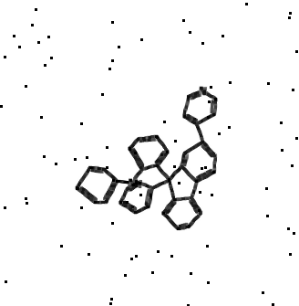 c1ccc(Nc2ccccc2C2(c3ccccc3)c3ccccc3-c3ccc(-c4ccncc4)cc32)cc1